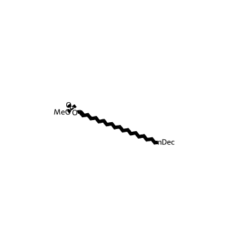 CCCCCCCCCCCCCCCCCCCCCCCCCCCCC=COP(C)(=O)OC